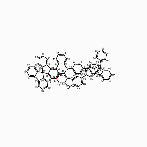 c1ccc(-c2ccc(N(c3ccccc3-c3cccc4c3-c3ccccc3C43c4ccccc4-c4ccccc43)c3cccc4oc5ccc(-c6ccc7c(c6)c6ccccc6n7-c6ccccc6)cc5c34)cc2)cc1